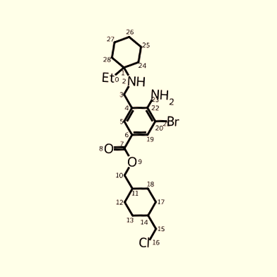 CCC1(NCc2cc(C(=O)OCC3CCC(CCl)CC3)cc(Br)c2N)CCCCC1